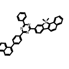 C[Si]1(C)c2cc(-c3nc(-c4ccccc4)nc(-c4ccc(-c5cccc6ccccc56)cc4)n3)ccc2-c2ccc3ccccc3c21